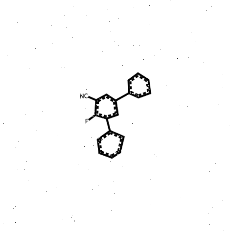 N#Cc1cc(-c2ccccc2)cc(-c2ccccc2)c1F